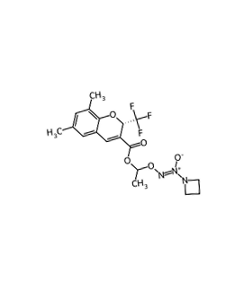 Cc1cc(C)c2c(c1)C=C(C(=O)OC(C)O/N=[N+](\[O-])N1CCC1)[C@@H](C(F)(F)F)O2